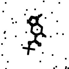 CC1Cc2c(ncn2C)CN1C(=O)OC(C)(C)C